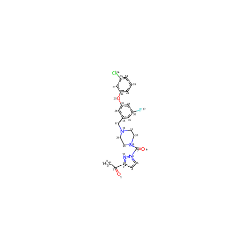 CC(=O)c1ccn(C(=O)N2CCN(Cc3cc(F)cc(Oc4cccc(Cl)c4)c3)CC2)n1